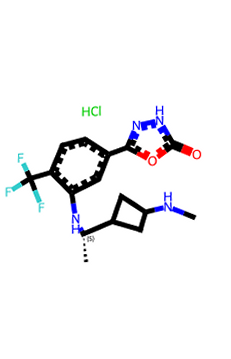 CNC1CC([C@H](C)Nc2cc(-c3n[nH]c(=O)o3)ccc2C(F)(F)F)C1.Cl